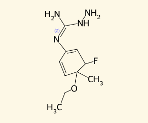 CCOC1(C)C=CC(/N=C(/N)NN)=CC1F